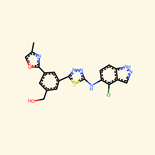 Cc1coc(-c2cc(CO)cc(-c3nnc(Nc4ccc5[nH]ncc5c4Cl)s3)c2)n1